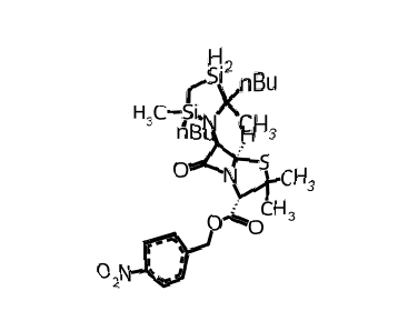 CCCCC1(C)[SiH2]C[Si](C)(CCCC)N1C1C(=O)N2[C@@H]1SC(C)(C)[C@@H]2C(=O)OCc1ccc([N+](=O)[O-])cc1